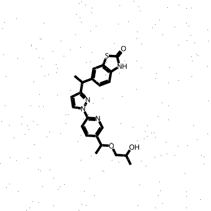 CC(O)COC(C)c1ccc(-n2ccc(C(C)c3ccc4[nH]c(=O)sc4c3)n2)nc1